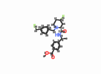 COC(=O)c1ccc([C@H](C)NC(=O)[C@H]2CC(F)CCN2Cc2ccc(CF)cc2)cc1